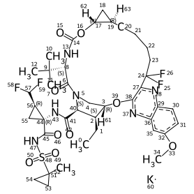 CC[C@@H]1[C@@H]2CN(C(=O)[C@H](C(C)(C)C)NC(=O)O[C@@H]3C[C@H]3CCCCC(F)(F)c3nc4ccc(OC)cc4nc3O2)[C@@H]1C(=O)N[C@]1(C(=O)NS(=O)(=O)C2(C)CC2)C[C@H]1C(F)F.[K]